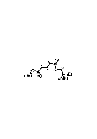 CCCCOC(=O)CCCC(=O)OCC(CC)CCCC